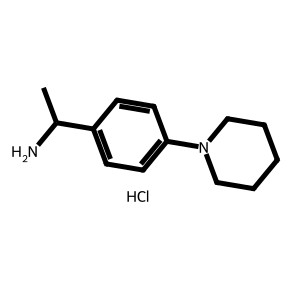 CC(N)c1ccc(N2CCCCC2)cc1.Cl